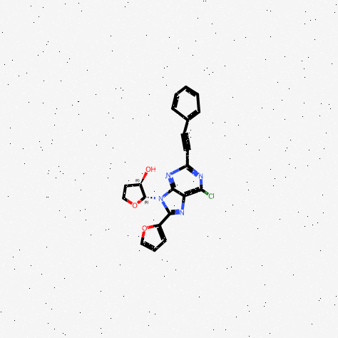 O[C@@H]1CCO[C@H]1n1c(-c2ccco2)nc2c(Cl)nc(C#Cc3ccccc3)nc21